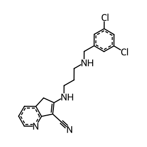 N#CC1=C(NCCCNCc2cc(Cl)cc(Cl)c2)Cc2cccnc21